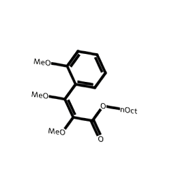 CCCCCCCCOC(=O)C(OC)=C(OC)c1ccccc1OC